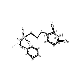 C[C@H](NS(=O)(=O)CCCn1ccc(=O)[nH]c1=O)c1ccccc1